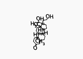 C[C@]12CCC(=O)C=C1CC[C@@H]1[C@@H]2CC[C@@]2(C)[C@H]1CC[C@@]2(CCO)C(=O)O